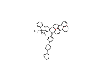 CC1(C)c2ccccc2-c2cc(-c3ccc(-c4ccccc4)cc3)c(N(c3ccc(-c4ccc(C5CC6CCC5C6)cc4)cc3)c3ccc(C4CCCCC4)cc3)cc21